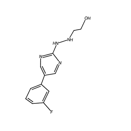 OCCNNc1ncc(-c2cccc(F)c2)cn1